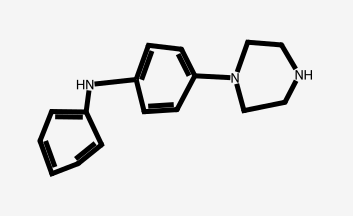 c1ccc(Nc2ccc(N3CCNCC3)cc2)cc1